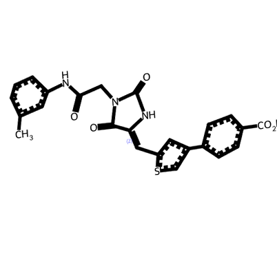 Cc1cccc(NC(=O)CN2C(=O)N/C(=C\c3cc(-c4ccc(C(=O)O)cc4)cs3)C2=O)c1